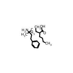 CC(C)(N)CCc1ccccc1.CCCCC(CC)C(=O)O